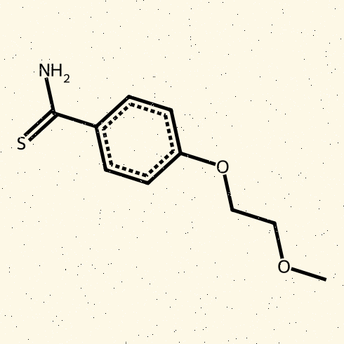 COCCOc1ccc(C(N)=S)cc1